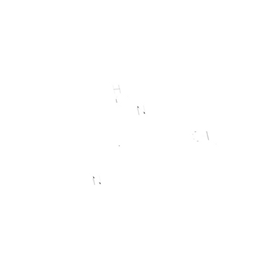 CC#CCC(C#N)(C#N)C1=CCCCC1C